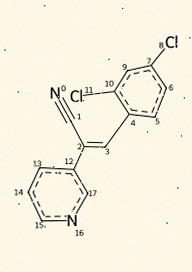 N#CC(=Cc1ccc(Cl)cc1Cl)c1cccnc1